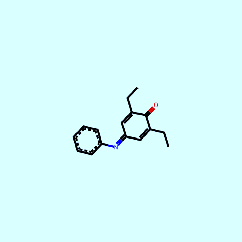 CCC1=CC(=Nc2ccccc2)C=C(CC)C1=O